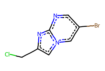 ClCc1cn2cc(Br)cnc2n1